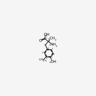 CC(N)(Cc1ccc(O)c([125I])c1)C(=O)O